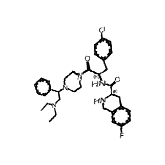 CCN(CC)CC(c1ccccc1)N1CCN(C(=O)[C@@H](Cc2ccc(Cl)cc2)NC(=O)[C@H]2Cc3ccc(F)cc3CN2)CC1